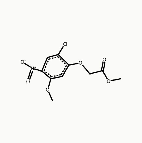 COC(=O)COc1cc(OC)c([N+](=O)[O-])cc1Cl